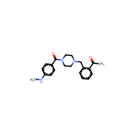 CNc1ccc(C(=O)N2CCN(Cc3ccccc3C(C)=O)CC2)cc1